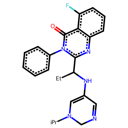 CCC(NC1=CN(C(C)C)CN=C1)c1nc2cccc(F)c2c(=O)n1-c1ccccc1